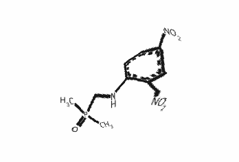 CP(C)(=O)CNc1ccc([N+](=O)[O-])cc1[N+](=O)[O-]